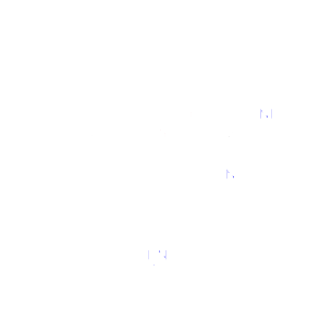 CCNC(=O)N1CCCC(N)C1COC1CCC(C)CC1